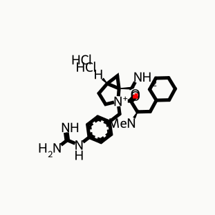 CN[C@H](CC1CCCCC1)C(=O)[N+]1(Cc2ccc(NC(=N)N)cc2)CC[C@@H]2C[C@@]21C(N)=O.Cl.Cl